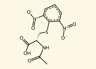 CC(=O)N[C@@H](CSc1c([N+](=O)[O-])cccc1[N+](=O)[O-])C(=O)O